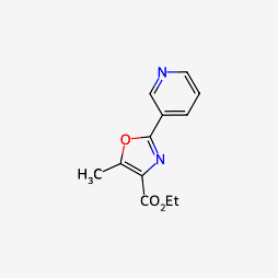 CCOC(=O)c1nc(-c2cccnc2)oc1C